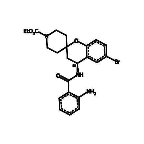 CCOC(=O)N1CCC2(CC1)C[C@H](NC(=O)c1ccccc1N)c1cc(Br)ccc1O2